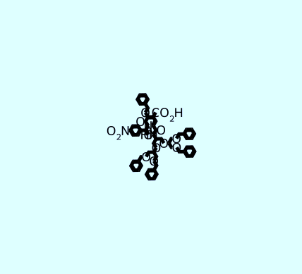 O=C(O)c1cc(C(=O)NC(COC(COCc2ccccc2)COCc2ccccc2)COC(COCc2ccccc2)COCc2ccccc2)n(C(=O)c2ccc([N+](=O)[O-])cc2)c(=O)c1OCc1ccccc1